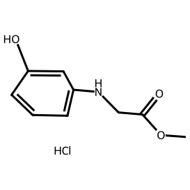 COC(=O)CNc1cccc(O)c1.Cl